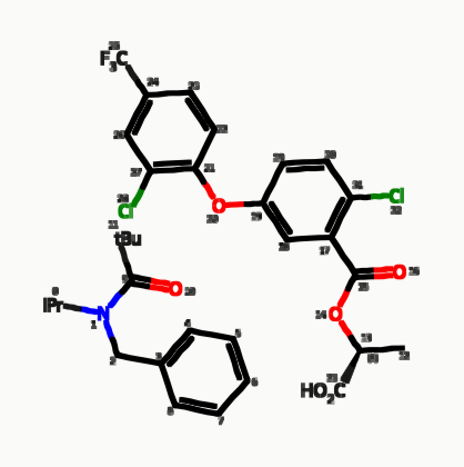 CC(C)N(Cc1ccccc1)C(=O)C(C)(C)C.C[C@H](OC(=O)c1cc(Oc2ccc(C(F)(F)F)cc2Cl)ccc1Cl)C(=O)O